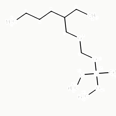 CCCCC(CC)COCO[Si](C)(OC)OC